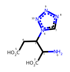 NC(C(=O)O)C(CC(=O)O)n1cnnn1